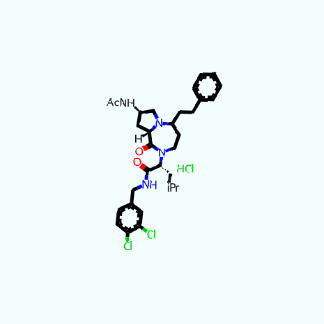 CC(=O)N[C@@H]1C[C@H]2C(=O)N([C@H](CC(C)C)C(=O)NCc3ccc(Cl)c(Cl)c3)CCC(CCc3ccccc3)N2C1.Cl